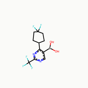 OB(O)c1cnc(C(F)(F)F)nc1C1CCC(F)(F)CC1